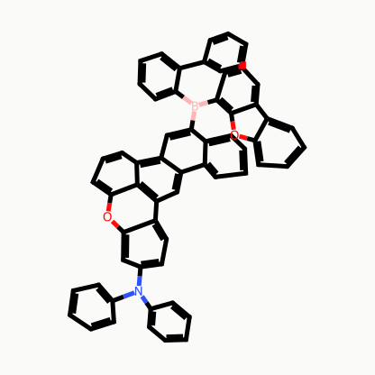 c1ccc(-c2ccccc2B(c2cc3c4cccc5c4c(cc3c3ccccc23)-c2ccc(N(c3ccccc3)c3ccccc3)cc2O5)c2cccc3c2oc2ccccc23)cc1